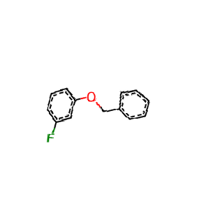 Fc1cccc(OCc2ccccc2)c1